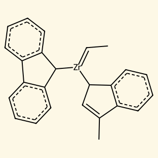 C[CH]=[Zr]([CH]1C=C(C)c2ccccc21)[CH]1c2ccccc2-c2ccccc21